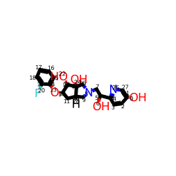 Oc1ccc(C(O)CN2C[C@@H]3C[C@@H](Oc4ccccc4F)[C@@H](O)[C@]3(O)C2)nc1